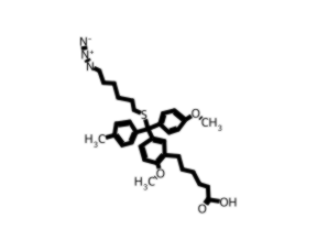 COc1ccc(C(SCCCCCCN=[N+]=[N-])(c2ccc(C)cc2)c2ccc(OC)c(CCCCCC(=O)O)c2)cc1